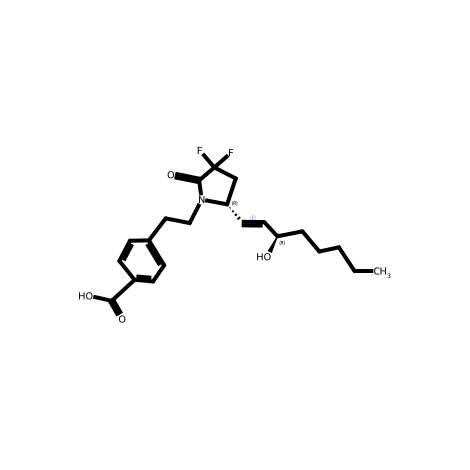 CCCCC[C@@H](O)/C=C/[C@H]1CC(F)(F)C(=O)N1CCc1ccc(C(=O)O)cc1